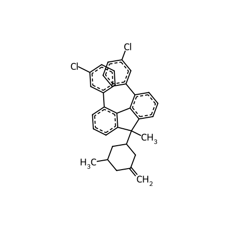 C=C1CC(C)CC(C2(C)c3cccc(-c4cccc(Cl)c4)c3-c3c(-c4cccc(Cl)c4)cccc32)C1